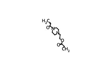 C=CC(=O)OCCN1CCN(C(=O)C=C)CC1